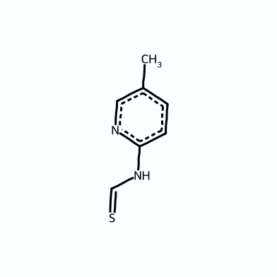 Cc1ccc(NC=S)nc1